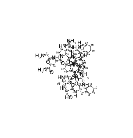 C[C@H](NC(=O)[C@H](Cc1ccccc1)NC(=O)[C@H](CO)NC(=O)[C@H](C)NC(=O)[C@@H]1CCCN1C(=O)[C@@H]1CCCN1C(=O)[C@H](Cc1c[nH]c2ccccc12)NC(=O)[C@@H]1CCCN1C(=O)[C@H](CCC(N)=O)NC(=O)CN)C(=O)N[C@@H](CS)C(=O)N[C@@H](CCCNC(=N)N)C(=O)O